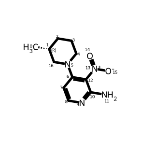 C[C@@H]1CCCN(c2ccnc(N)c2[N+](=O)[O-])C1